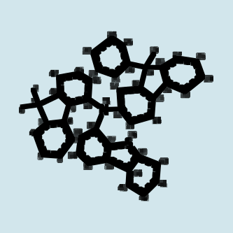 CC1(C)c2ccccc2-c2c(N(c3ccc4c(c3)C(C)(c3ccccc3)c3ccccc3-4)c3cccc4c3sc3ccccc34)cccc21